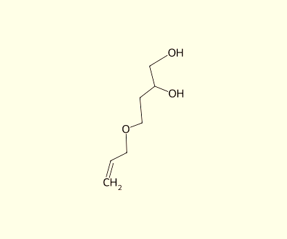 C=CCOCCC(O)CO